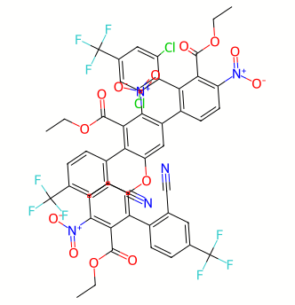 CCOC(=O)c1c([N+](=O)[O-])ccc(Oc2cc(-c3ccc([N+](=O)[O-])c(C(=O)OCC)c3-c3c(Cl)cc(C(F)(F)F)cc3Cl)c([N+](=O)[O-])c(C(=O)OCC)c2-c2ccc(C(F)(F)F)cc2C#N)c1-c1ccc(C(F)(F)F)cc1C#N